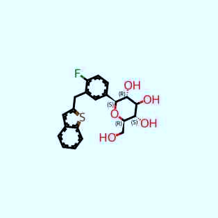 OC[C@H]1O[C@@H](c2ccc(F)c(Cc3cc4ccccc4s3)c2)[C@H](O)C(O)[C@@H]1O